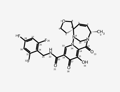 C[C@H]1C=C[C@@]2(CCOC2)N2CN1C(=O)c1c(O)c(=O)c(C(=O)NCc3c(F)cc(F)cc3F)cn12